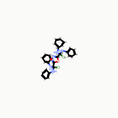 ClC(Nc1ccccc1)(Nc1ccccc1)c1nnc(C(Cl)(Nc2ccccc2)Nc2ccccc2)o1